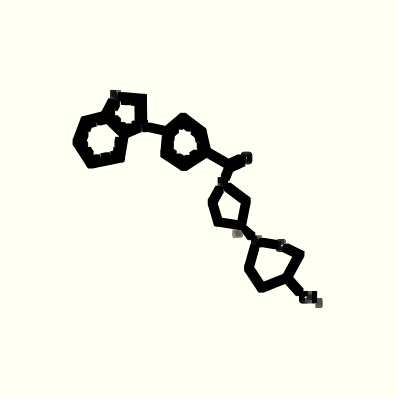 CC1CCN([C@H]2CCN(C(=O)c3ccc(-n4cnc5ccccc54)cc3)C2)CC1